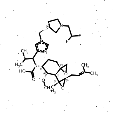 CO[C@@H]1[C@H](N(C(=O)O)C(c2cn(C[C@@H]3CCN(CC(F)F)C3)cn2)C(C)C)CC[C@]2(CO2)[C@H]1[C@@]1(C)O[C@@H]1CC=C(C)C